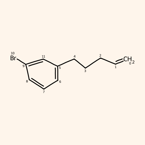 C=CCCCc1cccc(Br)c1